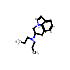 CCCN(CCC)C1Cc2cccc3ccn(c23)C1